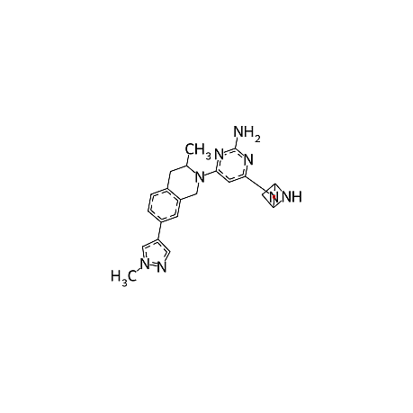 CC1Cc2ccc(-c3cnn(C)c3)cc2CN1c1cc(N2CC3CC2N3)nc(N)n1